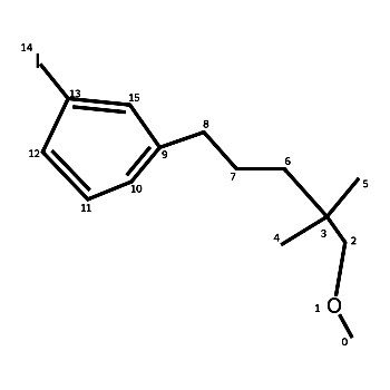 COCC(C)(C)CCCc1cccc(I)c1